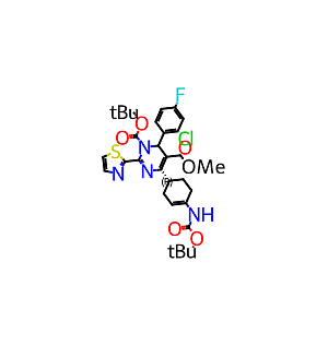 COC(=O)C1=C([C@H]2CC=C(NC(=O)OC(C)(C)C)CC2)N=C(c2nccs2)N(C(=O)OC(C)(C)C)C1c1ccc(F)cc1Cl